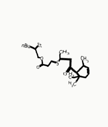 CCCCC(CC)COC(=O)CCSC(C)CC(=O)C1C(C)C=CCC1(C)C